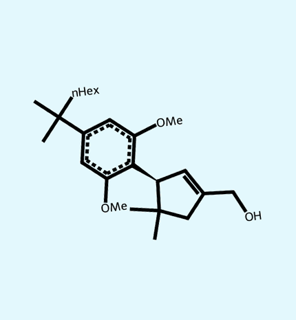 CCCCCCC(C)(C)c1cc(OC)c([C@H]2C=C(CO)CC2(C)C)c(OC)c1